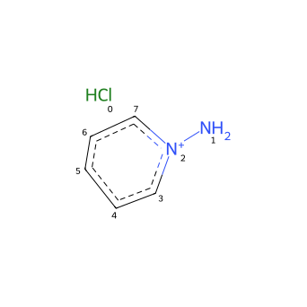 Cl.N[n+]1ccccc1